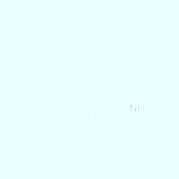 C[C]1NCC(c2ccccc2)O1